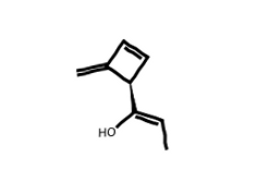 C=C1C=C[C@H]1/C(O)=C/C